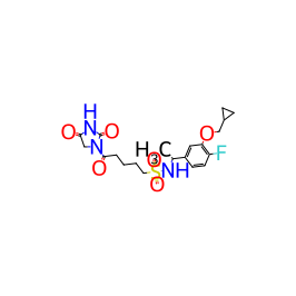 C[C@@H](NS(=O)(=O)CCCCC(=O)N1CC(=O)NC1=O)c1ccc(F)c(OCC2CC2)c1